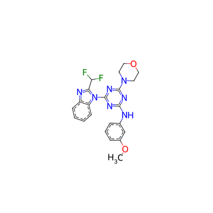 COc1cccc(Nc2nc(N3CCOCC3)nc(-n3c(C(F)F)nc4ccccc43)n2)c1